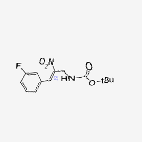 CC(C)(C)OC(=O)NC/C(=C/c1cccc(F)c1)[N+](=O)[O-]